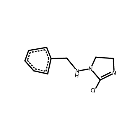 ClC1=NCCN1NCc1ccccc1